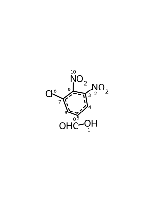 O=CO.O=[N+]([O-])c1cccc(Cl)c1[N+](=O)[O-]